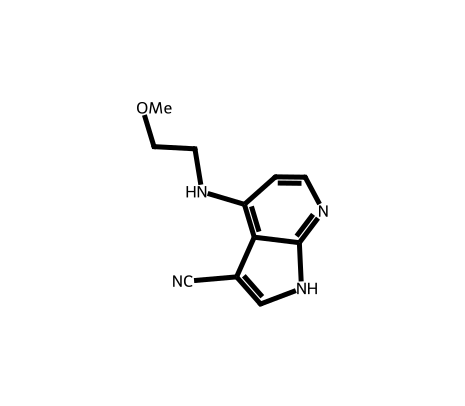 COCCNc1ccnc2[nH]cc(C#N)c12